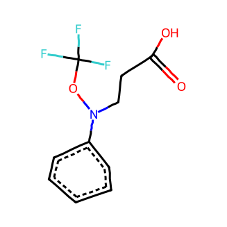 O=C(O)CCN(OC(F)(F)F)c1ccccc1